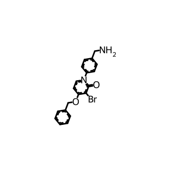 NCc1ccc(-n2ccc(OCc3ccccc3)c(Br)c2=O)cc1